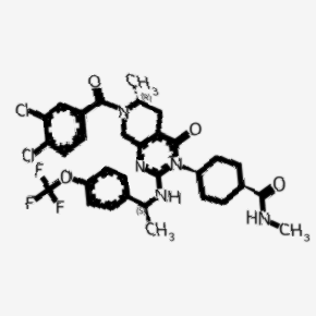 CNC(=O)[C@H]1CC[C@@H](n2c(N[C@@H](C)c3ccc(OC(F)(F)F)cc3)nc3c(c2=O)C[C@@H](C)N(C(=O)c2ccc(Cl)c(Cl)c2)C3)CC1